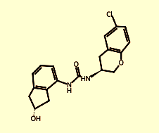 O=C(Nc1cccc2c1C[C@H](O)C2)N[C@@H]1COc2ccc(Cl)cc2C1